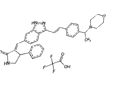 CC(c1ccc(/C=C/c2n[nH]c3cc(/C=C4/C(=O)NCC4c4ccccc4)ccc23)cc1)N1CCOCC1.O=C(O)C(F)(F)F